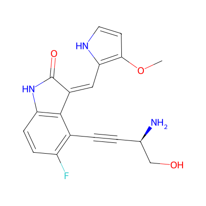 COc1cc[nH]c1C=C1C(=O)Nc2ccc(F)c(C#C[C@@H](N)CO)c21